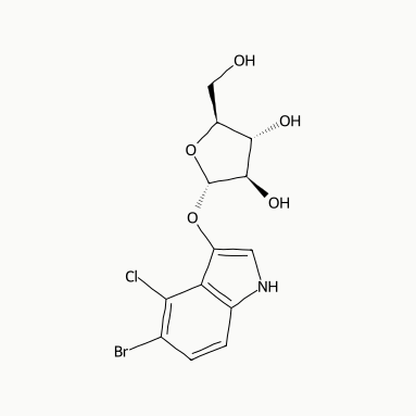 OC[C@@H]1O[C@@H](Oc2c[nH]c3ccc(Br)c(Cl)c23)[C@H](O)[C@H]1O